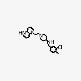 Cc1ccc(CNC2CCN(CCN3C=CC=C4NC=CC=C43)CC2)cc1Cl